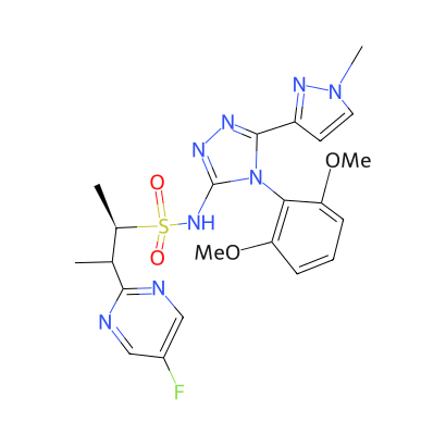 COc1cccc(OC)c1-n1c(NS(=O)(=O)[C@H](C)C(C)c2ncc(F)cn2)nnc1-c1ccn(C)n1